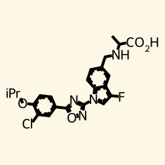 CC(C)Oc1ccc(-c2nc(-n3cc(F)c4cc(CNC(C)C(=O)O)ccc43)no2)cc1Cl